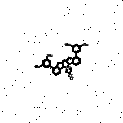 CC1=Cc2c(-c3cc(C(C)(C)C)cc(C(C)(C)C)c3)cccc2[CH]1[Zr+2]1([CH]2C(C)=Cc3c(-c4cc(C(C)(C)C)cc(C(C)(C)C)c4)cccc32)[CH2]C[CH2]1.[Cl-].[Cl-]